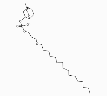 CCCCCCCCCCCCCCCCOCCCOP(=O)([O-])OC1C[N+]2(C)CCC1CC2